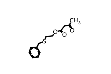 CC(=O)CC(=O)OCCSCc1ccccc1